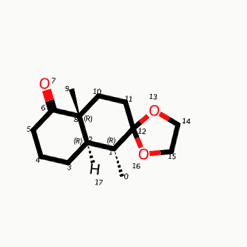 C[C@@H]1[C@H]2CCCC(=O)[C@]2(C)CCC12OCCO2